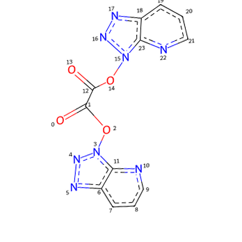 O=C(On1nnc2cccnc21)C(=O)On1nnc2cccnc21